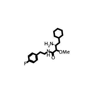 COC(C(=O)NCCc1ccc(F)cc1)[C@H](N)CC1CCCCC1